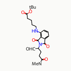 CNC(=O)CCC(C=O)N1C(=O)c2cccc(NCCCCC(=O)OC(C)(C)C)c2C1=O